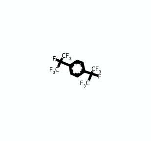 FC(F)(F)C(F)(c1ccc(C(F)(C(F)(F)F)C(F)(F)F)cc1)C(F)(F)F